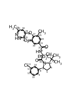 CCOC(=O)C(C)(C)[C@H]1CC[C@@H](c2cccc(Cl)c2)N1C(=O)[C@@H](C)NC(=O)c1cc(C)c(Oc2cc(C)n[nH]c2=O)c(F)c1